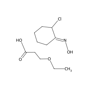 CCOCCC(=O)O.ON=C1CCCCC1Cl